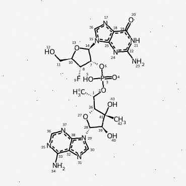 C[C@H](OP(=O)(O)O[C@@H]1[C@H](F)[C@@H](CO)O[C@H]1n1cnc2c(=O)[nH]c(N)nc21)[C@H]1O[C@@H](n2cnc3c(N)ncnc32)[C@H](O)[C@@]1(C)O